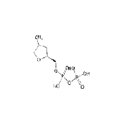 CC1CO[C@H](COP(=O)(O)OP(=O)(O)O)C1